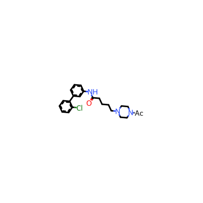 CC(=O)N1CCN(CCCCC(=O)Nc2cccc(-c3ccccc3Cl)c2)CC1